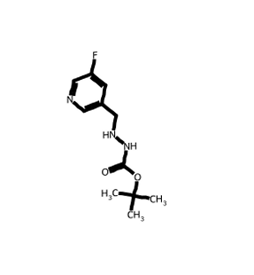 CC(C)(C)OC(=O)NNCc1cncc(F)c1